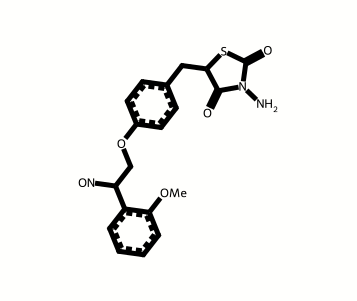 COc1ccccc1C(COc1ccc(CC2SC(=O)N(N)C2=O)cc1)N=O